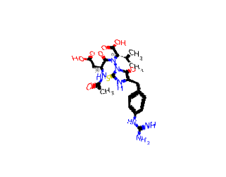 CC(=O)N[C@@H](CC(=O)O)C(=O)N([C@H](C(=O)O)C(C)C)N1C(=O)C(Cc2ccc(NC(=N)N)cc2)NC1=S